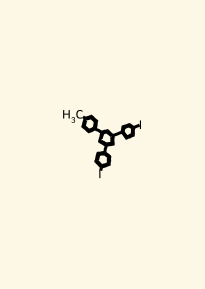 Cc1ccc(-c2cc(-c3ccc(I)cc3)cc(-c3ccc(I)cc3)c2)cc1